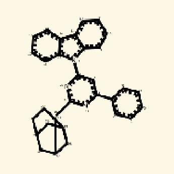 c1ccc(-c2cc(-n3c4ccccc4c4ccccc43)nc(N3C4CC5CC(C4)CC3C5)n2)cc1